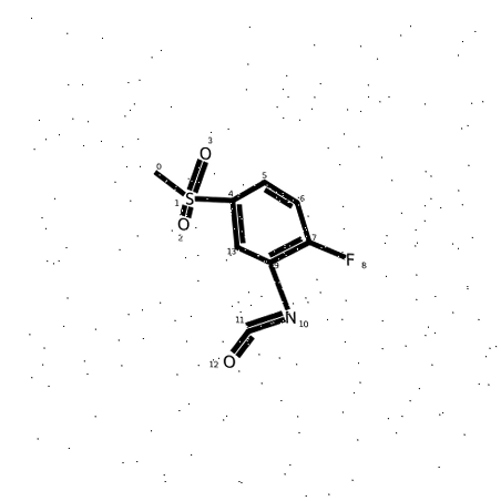 CS(=O)(=O)c1ccc(F)c(N=C=O)c1